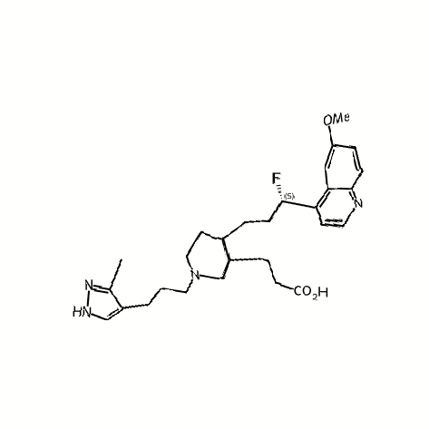 COc1ccc2nccc([C@@H](F)CCC3CCN(CCCc4c[nH]nc4C)CC3CCC(=O)O)c2c1